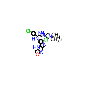 CC(C)(C)N1CCC(n2cc(C(Nc3cc(Cl)c4ncc(C#N)c(NC5CCOCC5)c4c3)c3ccc(Cl)cc3)nn2)CC1